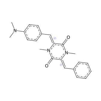 CN(C)c1ccc(/C=c2/c(=O)n(C)/c(=C\c3ccccc3)c(=O)n2C)cc1